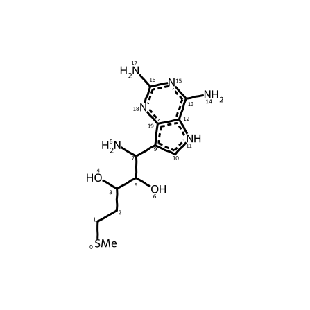 CSCCC(O)C(O)C(N)c1c[nH]c2c(N)nc(N)nc12